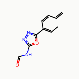 C=C/C=C\C(=C/C)c1nnc(NC=O)o1